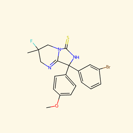 COc1ccc(C2(c3cccc(Br)c3)NC(=S)N3CC(C)(F)CN=C32)cc1